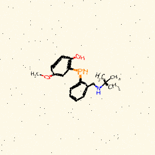 COc1ccc(O)c(Pc2ccccc2CNC(C)(C)C)c1